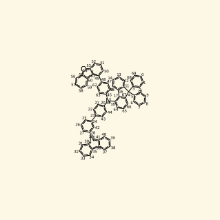 c1ccc(C2(c3ccccc3)c3ccccc3-c3c(N(c4ccc(-c5cccc(-n6c7ccccc7c7ccccc76)c5)cc4)c4ccc(-c5cccc6oc7ccccc7c56)cc4)cccc32)cc1